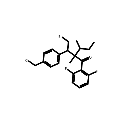 CCC(C)C(C)(C(=O)c1c(F)cccc1F)C(CBr)c1ccc(CCl)cc1